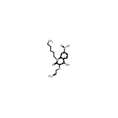 C=CCOc1c(O)c2ccc([N+](=O)[O-])cc2n(CCCCCC)c1=O